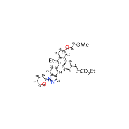 CCOC(=O)/C=C/c1ccc(/C(=C(/CC)c2ccc(OCCOC)cc2)c2ccc3c(cnn3C3CCCCO3)c2)cc1